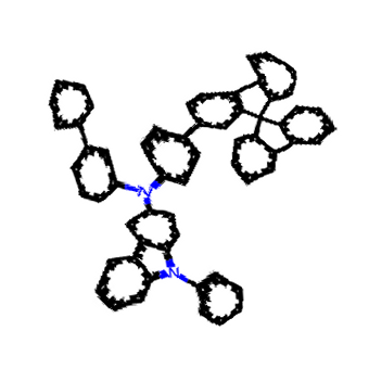 c1ccc(-c2cccc(N(c3ccc(-c4ccc5c(c4)C4(c6ccccc6-c6ccccc64)c4ccccc4-5)cc3)c3ccc4c(c3)c3ccccc3n4-c3ccccc3)c2)cc1